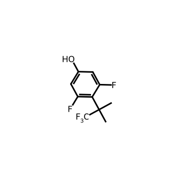 CC(C)(c1c(F)cc(O)cc1F)C(F)(F)F